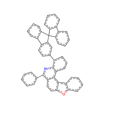 c1ccc(-c2nc3c(-c4ccc5c(c4)C4(c6ccccc6-c6ccccc64)c4ccccc4-5)cccc3c3c2ccc2oc4ccccc4c23)cc1